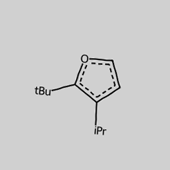 CC(C)c1ccoc1C(C)(C)C